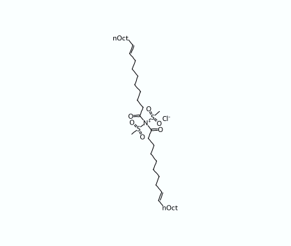 CCCCCCCCC=CCCCCCCCC(=O)[N+](C(=O)CCCCCCCC=CCCCCCCCC)(S(C)(=O)=O)S(C)(=O)=O.[Cl-]